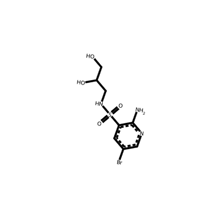 Nc1ncc(Br)cc1S(=O)(=O)NCC(O)CO